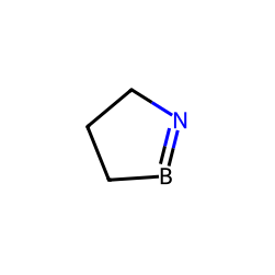 B1=NCCC1